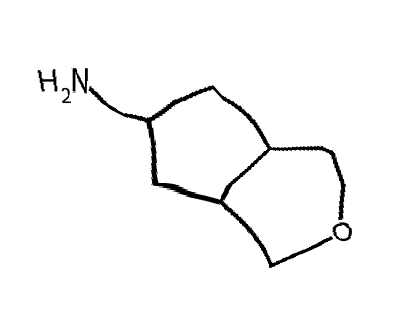 NC1CC2COCC2C1